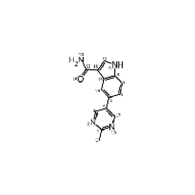 Cc1ncc(-c2ccc3[nH]cc(C(N)=O)c3c2)cn1